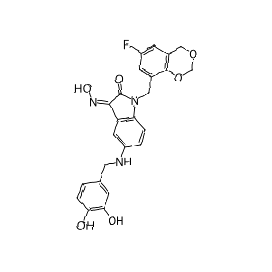 O=C1/C(=N\O)c2cc(NCc3ccc(O)c(O)c3)ccc2N1Cc1cc(F)cc2c1OCOC2